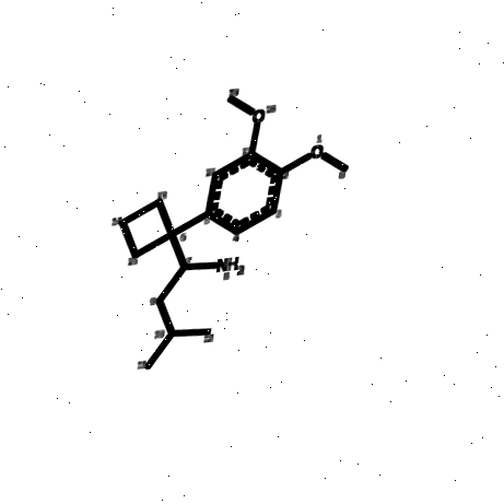 COc1ccc(C2(C(N)CC(C)C)CCC2)cc1OC